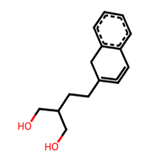 OCC(CO)CCC1=C=Cc2ccccc2C1